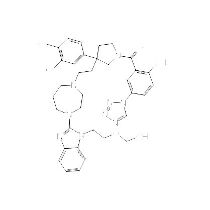 CCOCCn1c(N2CCCN(CCC3(c4ccc(Cl)c(Cl)c4)CCN(C(=O)c4cc(-n5cnnn5)ccc4C)C3)CC2)nc2ccccc21